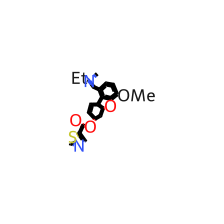 CCN(C)Cc1ccc(OC)c2c1C1C=CC(OC(=O)c3cncs3)CC1O2